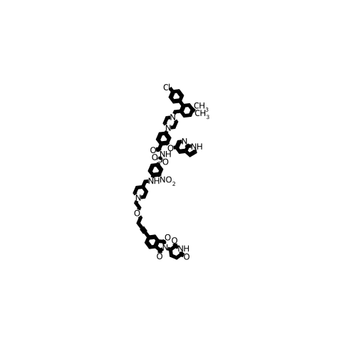 CC1(C)CCC(CN2CCN(c3ccc(C(=O)NS(=O)(=O)c4ccc(NCC5CCN(CCOCCC#Cc6ccc7c(c6)C(=O)N(C6CCC(=O)NC6=O)C7=O)CC5)c([N+](=O)[O-])c4)c(Oc4cnc5[nH]ccc5c4)c3)CC2)=C(c2ccc(Cl)cc2)C1